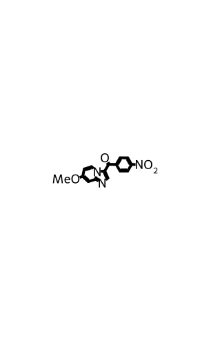 COc1ccn2c(C(=O)c3ccc([N+](=O)[O-])cc3)cnc2c1